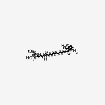 CC(C)(C)OC(=O)N[C@@H](CCCCNC(=O)CCCCCCCCCCCN1C(=O)C2C(C1=O)C1(C)C=CC2(C)O1)C(=O)O